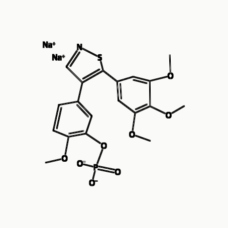 COc1ccc(-c2cnsc2-c2cc(OC)c(OC)c(OC)c2)cc1OP(=O)([O-])[O-].[Na+].[Na+]